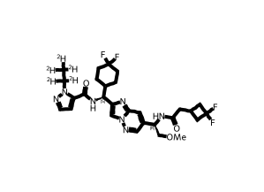 [2H]C([2H])([2H])C([2H])([2H])n1nccc1C(=O)N[C@H](c1cn2ncc([C@H](COC)NC(=O)CC3CC(F)(F)C3)cc2n1)C1CCC(F)(F)CC1